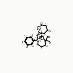 CC1(C)CCC[Si](C[SiH]2CCCCO2)(c2ccccc2)O1